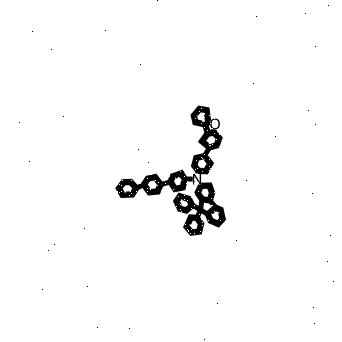 c1ccc(-c2ccc(-c3ccc(N(c4ccc(-c5ccc6oc7ccccc7c6c5)cc4)c4ccc5c(c4)C(c4ccccc4)(c4ccccc4)c4ccccc4-5)cc3)cc2)cc1